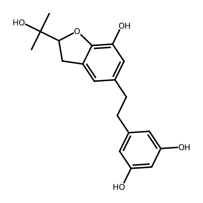 CC(C)(O)C1Cc2cc(CCc3cc(O)cc(O)c3)cc(O)c2O1